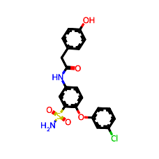 NS(=O)(=O)c1cc(NC(=O)Cc2ccc(O)cc2)ccc1Oc1cccc(Cl)c1